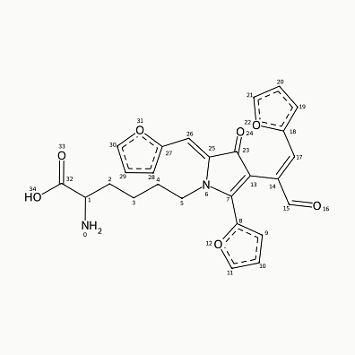 NC(CCCCN1C(c2ccco2)=C(/C(C=O)=C\c2ccco2)C(=O)/C1=C/c1ccco1)C(=O)O